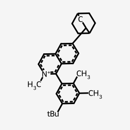 Cc1cc(C(C)(C)C)cc(-c2c3ccc(C4CC5CCC4CC5)cc3cc[n+]2C)c1C